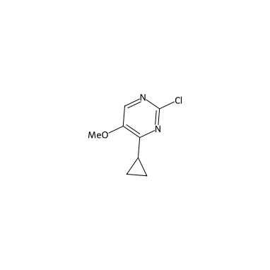 COc1cnc(Cl)nc1C1CC1